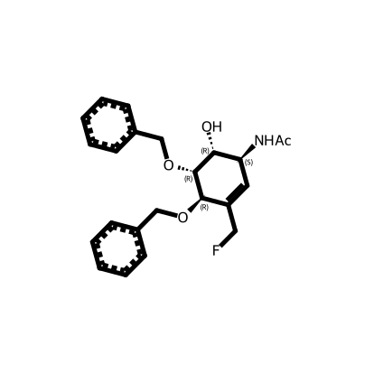 CC(=O)N[C@H]1C=C(CF)[C@@H](OCc2ccccc2)[C@H](OCc2ccccc2)[C@@H]1O